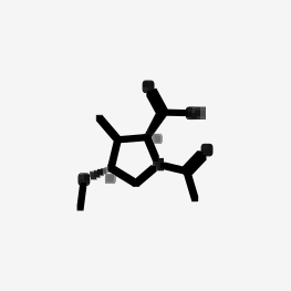 CO[C@H]1CN(C(C)=O)[C@H](C(=O)O)C1C